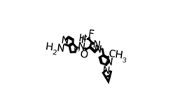 Cc1nc(N2CC3CC3C2)ccc1Cn1cc(C(=O)N[C@@H]2CCc3c2ccnc3N)c(C(F)F)n1